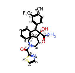 N#Cc1ccc(C(c2ccccc2)C(O)(C(N)=O)C2CCN(C(=O)c3nccs3)CC2)cc1C(F)(F)F